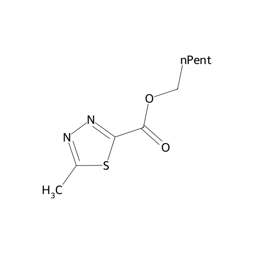 CCCCCCOC(=O)c1nnc(C)s1